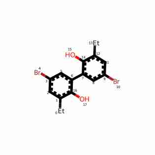 CCc1cc(Br)cc(-c2cc(Br)cc(CC)c2O)c1O